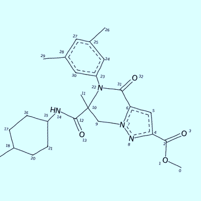 COC(=O)c1cc2n(n1)CC(C)(C(=O)NC1CCC(C)CC1)N(c1cc(C)cc(C)c1)C2=O